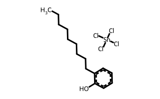 CCCCCCCCCc1ccccc1O.[Cl][Sn]([Cl])([Cl])[Cl]